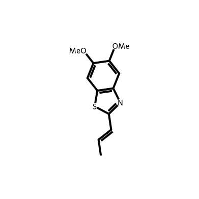 C/C=C/c1nc2cc(OC)c(OC)cc2s1